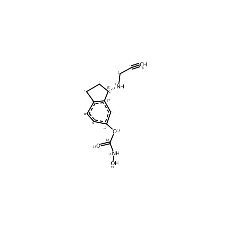 C#CCN[C@H]1CCc2ccc(OC(=O)NO)cc21